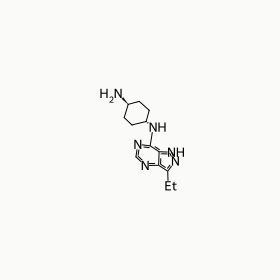 CCc1n[nH]c2c(N[C@H]3CC[C@H](N)CC3)ncnc12